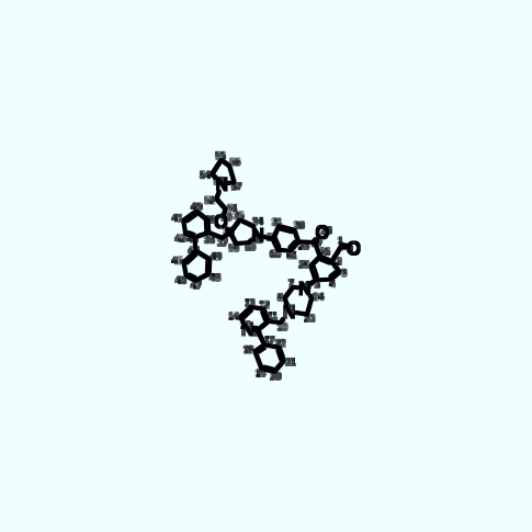 O=[C]c1ccc(N2CCN(Cc3cccnc3-c3ccccc3)CC2)cc1C(=O)c1ccc(N2CCC(Cc3ccccc3-c3ccccc3)(OCCN3CCCC3)CC2)cc1